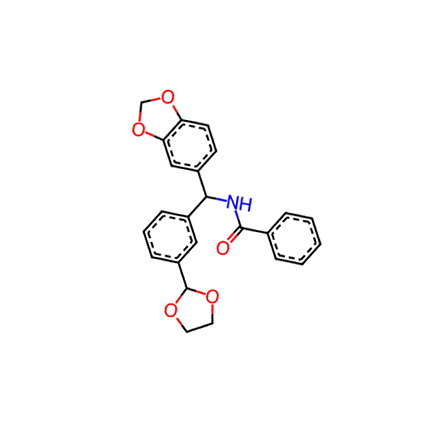 O=C(NC(c1cccc(C2OCCO2)c1)c1ccc2c(c1)OCO2)c1ccccc1